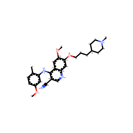 COc1ccc(C)c(Nc2c(C#N)cnc3cc(OCCCC4CCN(C)CC4)c(OC)cc23)c1